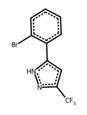 FC(F)(F)c1cc(-c2ccccc2Br)[nH]n1